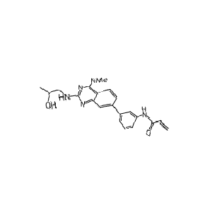 C=CC(=O)Nc1cccc(-c2ccc3c(NC)nc(NCC(C)O)nc3c2)c1